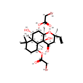 C=C[C@@]1(C)CC(=O)[C@]2(O)[C@@]3(C)[C@@H](OC(=O)CBr)CCC(C)(C)[C@@H]3[C@H](O)[C@H](OC(=O)CBr)[C@@]2(C)O1